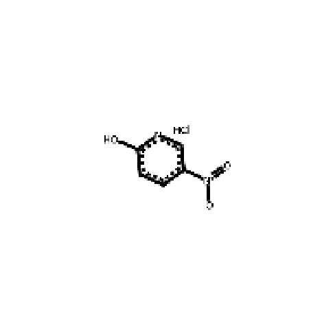 Cl.O=[N+]([O-])c1ccc(O)nc1